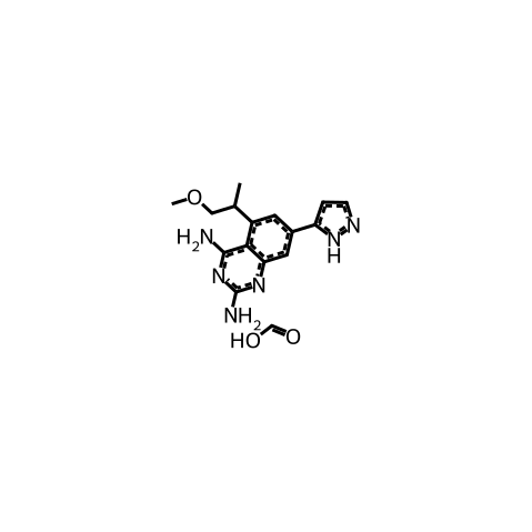 COCC(C)c1cc(-c2ccn[nH]2)cc2nc(N)nc(N)c12.O=CO